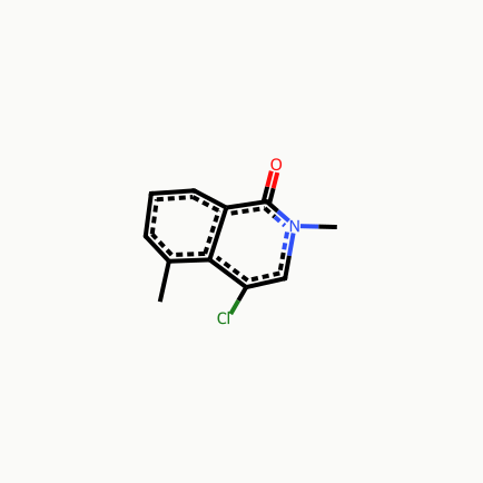 Cc1cccc2c(=O)n(C)cc(Cl)c12